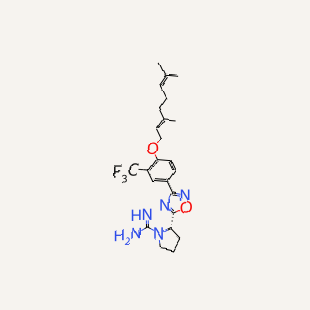 CC(C)=CCC/C(C)=C/COc1ccc(-c2noc([C@@H]3CCCN3C(=N)N)n2)cc1C(F)(F)F